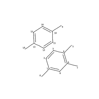 Cc1ccc(C)c(C)c1.Cc1ccc(C)cc1